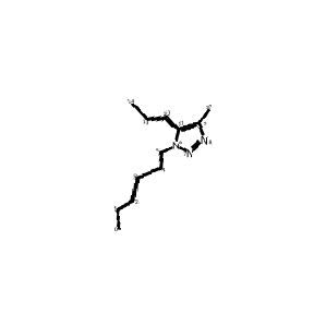 CCCCCCn1nnc(C)c1CCC